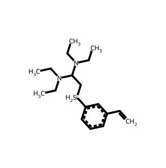 C=Cc1cccc([SiH2]CC(N(CC)CC)N(CC)CC)c1